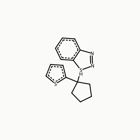 c1csc(C2([SH]3N=Nc4ccccc43)CCCC2)c1